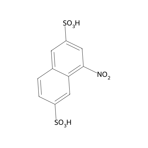 O=[N+]([O-])c1cc(S(=O)(=O)O)cc2ccc(S(=O)(=O)O)cc12